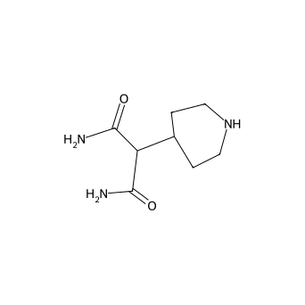 NC(=O)C(C(N)=O)C1CCNCC1